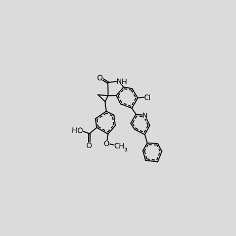 COc1ccc(C2CC23C(=O)Nc2cc(Cl)c(-c4ccc(-c5ccccc5)cn4)cc23)cc1C(=O)O